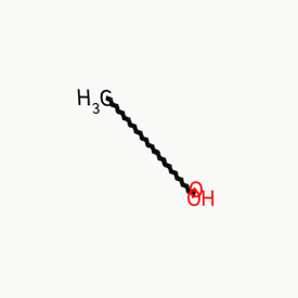 CCCCCCCCCCCCCCCCC=CCC=CCCCCCCCCC(=O)O